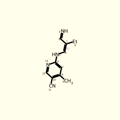 CC/C(C=N)=C/Nc1cc(C)c(C#N)cn1